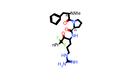 CCCC(F)(F)C(=O)C(CCCNC(=N)N)NC(=O)[C@@H]1CCCN1C(=O)[C@@H](Cc1ccccc1)NC